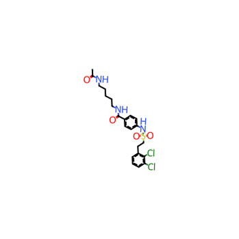 CC(=O)NCCCCCNC(=O)c1ccc(NS(=O)(=O)CCc2cccc(Cl)c2Cl)cc1